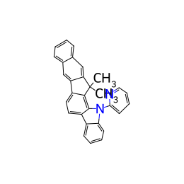 CC1(C)c2cc3ccccc3cc2-c2ccc3c4ccccc4n(-c4ccccn4)c3c21